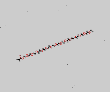 C=C(C)C(=O)OCCOCCOCCOCCOCCOCCOCCOCCOCCOCCOCCOCCOCCOCCOCC